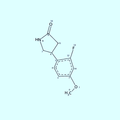 COc1ccc(C2CNC(=O)C2)c(F)c1